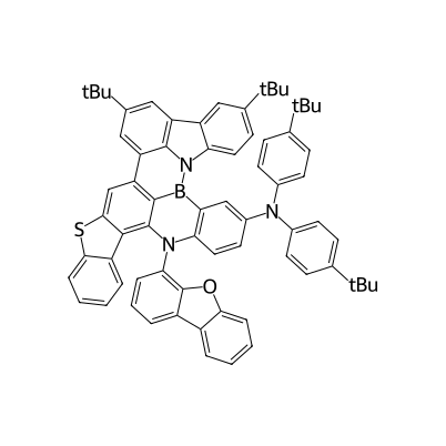 CC(C)(C)c1ccc(N(c2ccc(C(C)(C)C)cc2)c2ccc3c(c2)B2c4c(cc5sc6ccccc6c5c4N3c3cccc4c3oc3ccccc34)-c3cc(C(C)(C)C)cc4c5cc(C(C)(C)C)ccc5n2c34)cc1